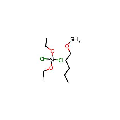 CCCCCO[SiH3].CCO[Si](Cl)(Cl)OCC